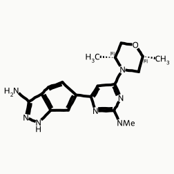 CNc1nc(-c2ccc3c(N)n[nH]c3c2)cc(N2C[C@@H](C)OC[C@H]2C)n1